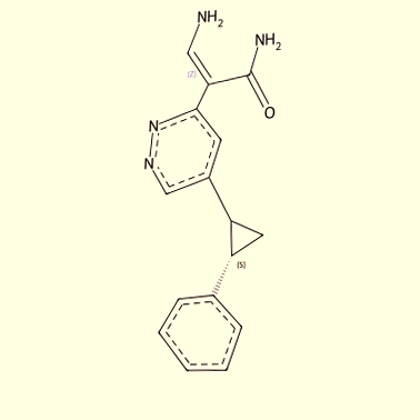 N/C=C(\C(N)=O)c1cc(C2C[C@@H]2c2ccccc2)cnn1